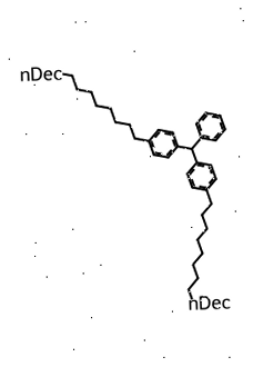 CCCCCCCCCCCCCCCCCCc1ccc(C(c2ccccc2)c2ccc(CCCCCCCCCCCCCCCCCC)cc2)cc1